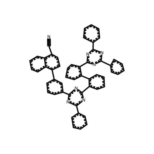 N#Cc1ccc(-c2cccc(-c3nc(-c4ccccc4)nc(-c4ccccc4-c4ccccc4-c4nc(-c5ccccc5)nc(-c5ccccc5)n4)n3)c2)c2ccccc12